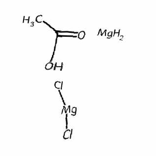 CC(=O)O.[Cl][Mg][Cl].[MgH2]